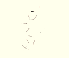 CCCOc1cc(O)c(C(C)(C)C)cc1/C=C/C(=O)c1ccc(O)cc1